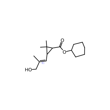 C/C(=C\C1C(C(=O)OC2CCCCC2)C1(C)C)CO